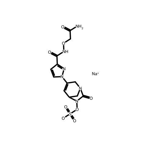 NC(=O)CONC(=O)c1ccn(C2=CC3CN(C2)C(=O)N3OS(=O)(=O)[O-])n1.[Na+]